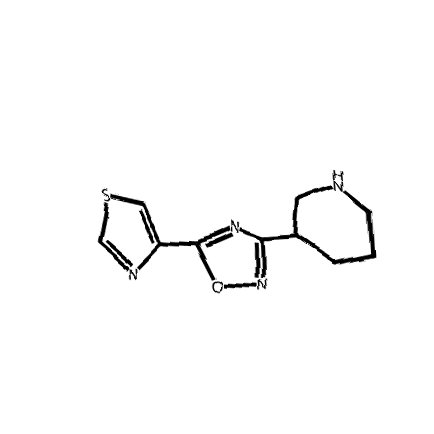 c1nc(-c2nc(C3CCCNC3)no2)cs1